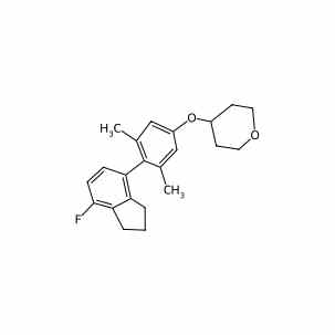 Cc1cc(OC2CCOCC2)cc(C)c1-c1ccc(F)c2c1CCC2